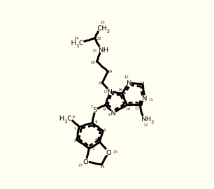 Cc1cc2c(cc1Sc1nc3c(N)ncnc3n1CCCNC(C)C)OCO2